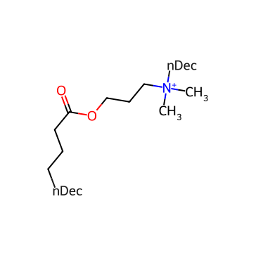 CCCCCCCCCCCCCC(=O)OCCC[N+](C)(C)CCCCCCCCCC